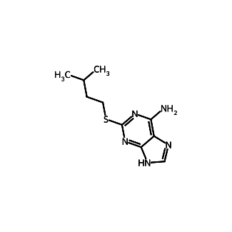 CC(C)CCSc1nc(N)c2nc[nH]c2n1